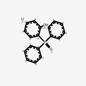 O=P(c1ccccc1)(c1ccccc1)c1ccccc1O.[Li]